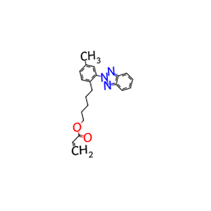 C=CC(=O)OCCCCCc1ccc(C)cc1-n1nc2ccccc2n1